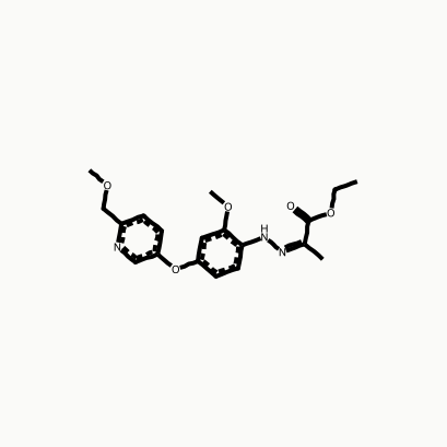 CCOC(=O)C(C)=NNc1ccc(Oc2ccc(COC)nc2)cc1OC